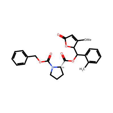 COC1=CC(=O)OC1C(OC(=O)[C@@H]1CCCN1C(=O)OCc1ccccc1)c1ccccc1C